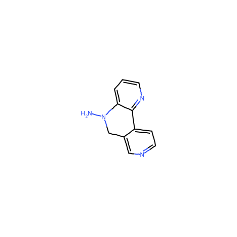 NN1Cc2cnccc2-c2ncccc21